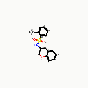 O=S(=O)(NC1COc2ccccc2C1)c1ccccc1C(F)(F)F